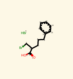 Br.O=C(O)C(CBr)CCCc1ccccc1